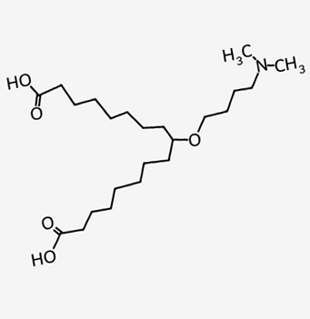 CN(C)CCCCOC(CCCCCCCC(=O)O)CCCCCCCC(=O)O